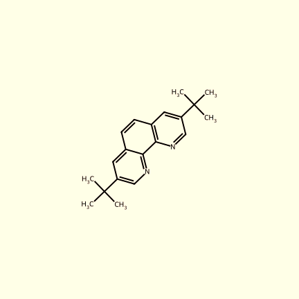 CC(C)(C)c1cnc2c(ccc3cc(C(C)(C)C)cnc32)c1